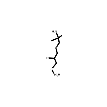 CC(C)(N)COCC(O)COS(=O)(=O)O